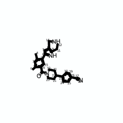 Cc1cc(C)c(-c2cc3c([nH]2)CCNC3)cc1C(=O)N1CCC(c2ccc(C#N)cc2)CC1